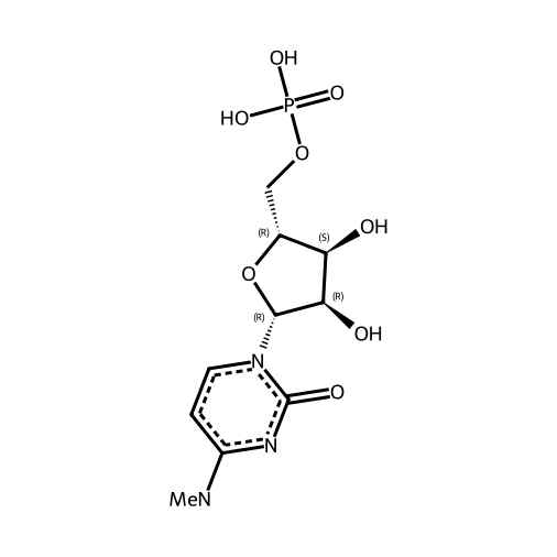 CNc1ccn([C@@H]2O[C@H](COP(=O)(O)O)[C@@H](O)[C@H]2O)c(=O)n1